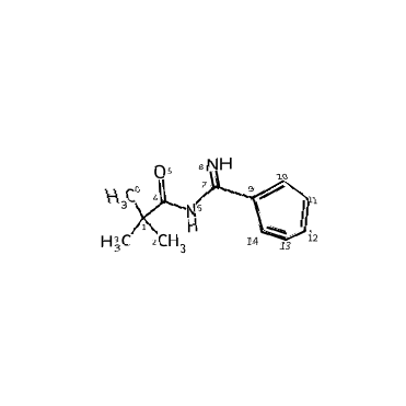 CC(C)(C)C(=O)NC(=N)c1cc[c]cc1